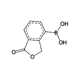 O=C1OCc2c(B(O)O)cccc21